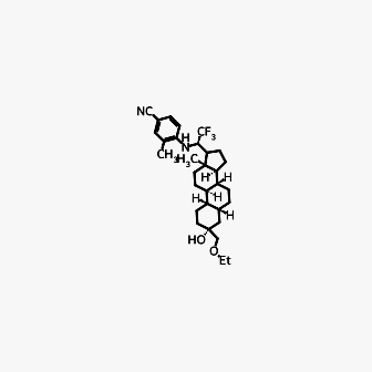 CCOC[C@@]1(O)CC[C@H]2[C@H](CC[C@@H]3[C@@H]2CC[C@]2(C)C([C@@H](Nc4ccc(C#N)cc4C)C(F)(F)F)CC[C@@H]32)C1